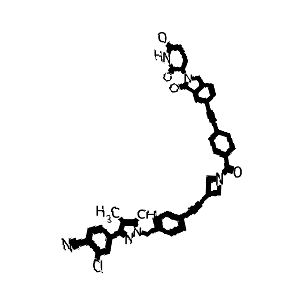 Cc1c(-c2ccc(C#N)c(Cl)c2)nn(Cc2ccc(C#CC3CN(C(=O)C4CCC(C#Cc5ccc6c(c5)C(=O)N(C5CCC(=O)NC5=O)C6)CC4)C3)cc2)c1C